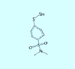 CN(C)S(=O)(=O)c1ccc(SS)cc1